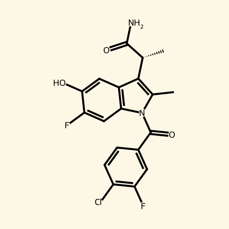 Cc1c([C@@H](C)C(N)=O)c2cc(O)c(F)cc2n1C(=O)c1ccc(Cl)c(F)c1